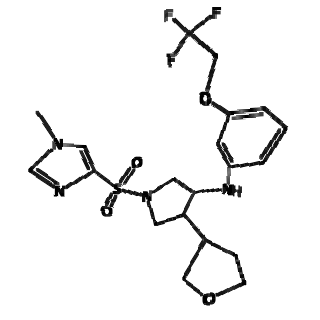 Cn1cnc(S(=O)(=O)N2CC(Nc3cccc(OCC(F)(F)F)c3)C(C3CCOC3)C2)c1